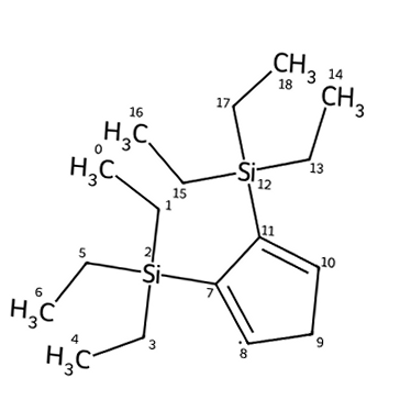 CC[Si](CC)(CC)C1=[C]CC=C1[Si](CC)(CC)CC